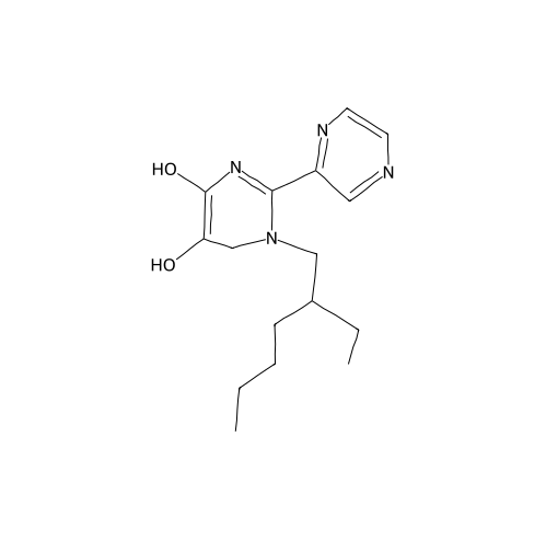 CCCCC(CC)CN1CC(O)=C(O)N=C1c1cnccn1